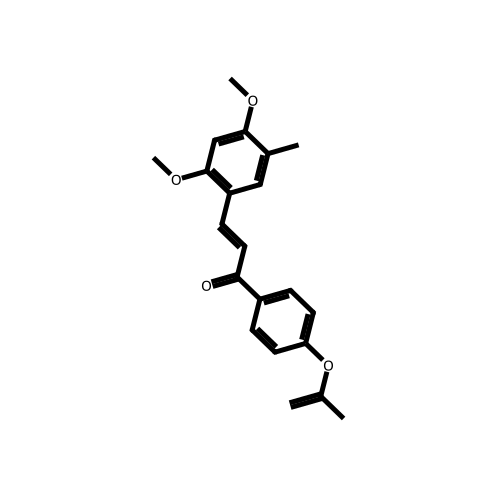 C=C(C)Oc1ccc(C(=O)C=Cc2cc(C)c(OC)cc2OC)cc1